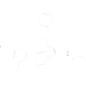 Cc1c(C(=O)O)cccc1C(=O)O.NNC(=O)Cc1cn(CCc2ccccc2)c2ccccc12